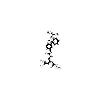 COC(=O)C[C@H](CNC(=O)Oc1cccc([C@@]2(O)CCCC[C@@H]2CN(C)C)c1)CC(C)C